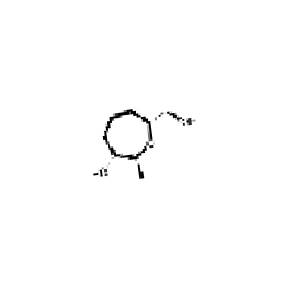 C[C@@H]1O[C@@H](CO)CCC[C@H]1O